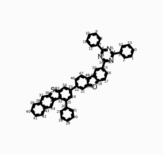 c1ccc(-c2nc(-c3ccccc3)nc(-c3ccc4oc5cc(-c6cc(-c7ccccc7)c7c(c6)sc6cc8ccccc8cc67)ccc5c4c3)n2)cc1